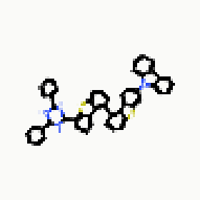 c1ccc(C2NC(c3ccccc3)NC(c3cccc4c3sc3cccc(-c5cccc6sc7cc(-n8c9ccccc9c9ccccc98)ccc7c56)c34)N2)cc1